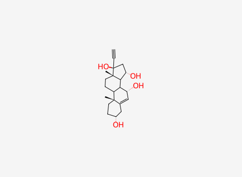 C#C[C@]1(O)C[C@H](O)C2C3C(CC[C@@]21C)[C@@]1(C)CC[C@@H](O)CC1=C[C@H]3O